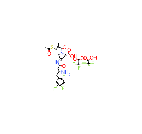 CC(=O)SC[C@@H](C)C(=O)N1C[C@@H](NC(=O)C[C@H](N)Cc2cc(F)c(F)cc2F)C[C@H]1C(=O)O.O=C(O)C(F)(F)F.O=C(O)C(F)(F)F